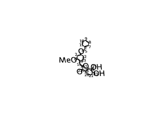 COc1cc(OCc2ccccc2)ccc1C=C1Oc2c(ccc(O)c2O)C1=O